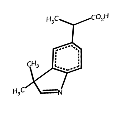 CC(C(=O)O)c1ccc2c(c1)C(C)(C)C=N2